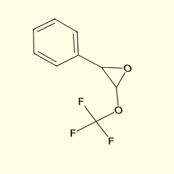 FC(F)(F)OC1OC1c1ccccc1